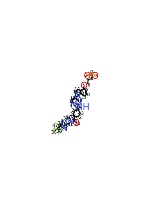 CS(=O)(=O)CCCOc1cccc2c1ccn2-c1ccnc(NC2CCC(C(=O)N3CCn4cc(C(F)(F)F)nc4C3)CC2)n1